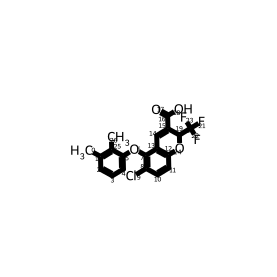 Cc1cccc(Oc2c(Cl)ccc3c2C=C(C(=O)O)C(C(F)(F)F)O3)c1C